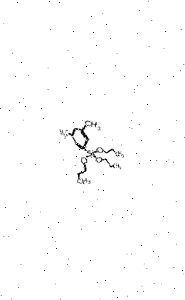 CCCO[Si](OCCC)(OCCC)c1cc(C)cc(C)c1